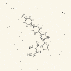 CC(C)C(NC(=O)O)C(=O)N1CCCC1c1nc(-c2ccc(-c3ccc(Br)cc3)cc2)c[nH]1